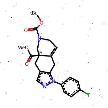 COC(=O)[C@]12Cc3cnn(-c4ccc(F)cc4)c3CC1=CCN(C(=O)OC(C)(C)C)C2